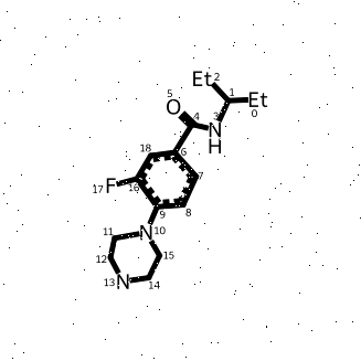 CCC(CC)NC(=O)c1ccc(N2CC[N]CC2)c(F)c1